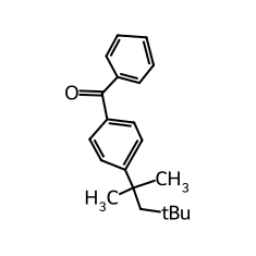 CC(C)(C)CC(C)(C)c1ccc(C(=O)c2ccccc2)cc1